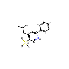 CC(C)Cc1cc(-c2ccccc2)ncc1S(C)(C)C